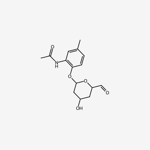 CC(=O)Nc1cc(C)ccc1OC1CC(O)CC(C=O)O1